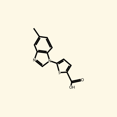 Cc1ccc2c(c1)ncn2-c1ccc(C(=O)O)s1